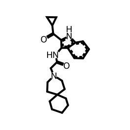 O=C(CN1CCC2(CCCCC2)CC1)Nc1c(C(=O)C2CC2)[nH]c2ccccc12